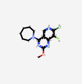 COc1nc(N2CCCCCC2)c2cnc(Cl)c(F)c2n1